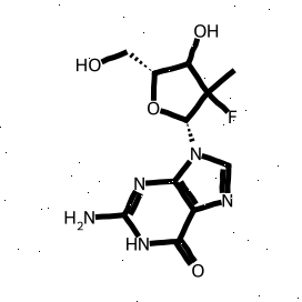 CC1(F)C(O)[C@@H](CO)O[C@H]1n1cnc2c(=O)[nH]c(N)nc21